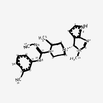 CC1CN([C@@H]2c3cc[nH]c3N=CN2C)CCN1C(=NC#N)Nc1cccc(C#N)c1